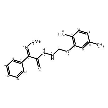 CON=C(C(=O)NNCOc1cc(C)ccc1C)c1ccccc1